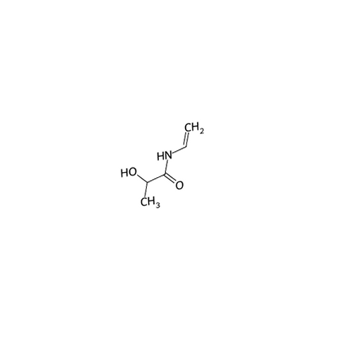 C=CNC(=O)C(C)O